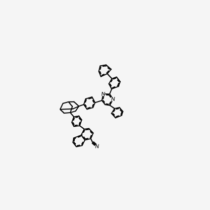 N#Cc1ccc(-c2ccc(C34CC5CC(CC(c6ccc(-c7cc(-c8ccccc8)nc(-c8cccc(-c9ccccc9)c8)n7)cc6)(C5)C3)C4)cc2)c2ccccc12